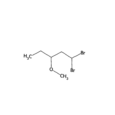 CCC(CC(Br)Br)OC